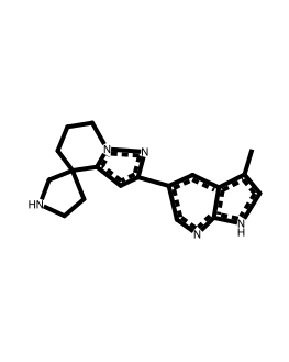 Cc1c[nH]c2ncc(-c3cc4n(n3)CCCC43CCNC3)cc12